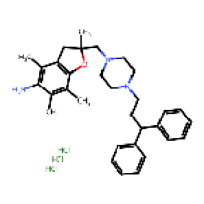 Cc1c(C)c2c(c(C)c1N)CC(C)(CN1CCN(CCC(c3ccccc3)c3ccccc3)CC1)O2.Cl.Cl.Cl